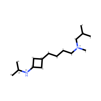 CC(C)CN(C)CCCCC1CC(NC(C)C)C1